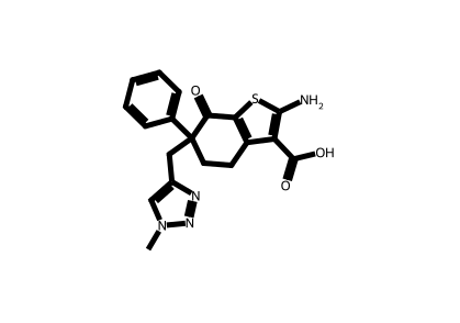 Cn1cc(CC2(c3ccccc3)CCc3c(sc(N)c3C(=O)O)C2=O)nn1